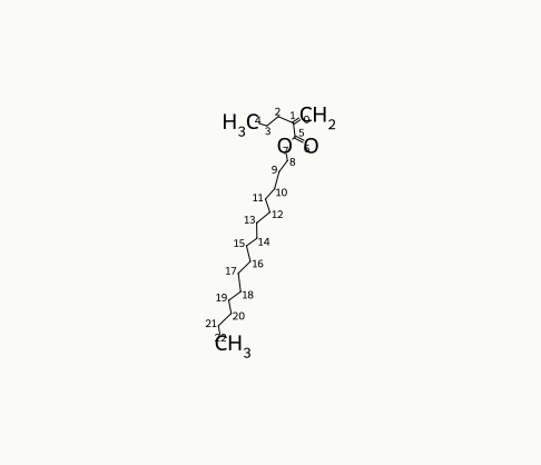 C=C(CCC)C(=O)OCCCCCCCCCCCCCCC